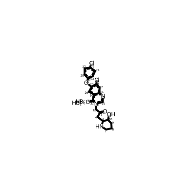 Br.Br.O=C(CC1NCCCC1O)Cn1cnc2cc(Cl)c(Oc3ccc(Cl)cc3)cc2c1=O